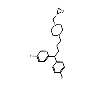 Fc1ccc(C(CCCN2CCN(C[C@H]3CO3)CC2)c2ccc(F)cc2)cc1